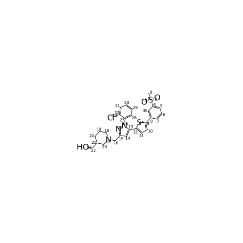 CS(=O)(=O)c1cccc(-c2ccc(-c3cc(CN4CCCC(CO)C4)nn3-c3ccccc3Cl)s2)c1